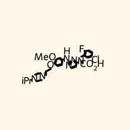 COc1cc(Nc2nccc(N(Cc3cc(Cl)ccc3F)C(=O)O)n2)ccc1OCCCN1CCN(C(C)C)CC1